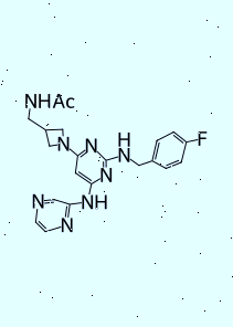 CC(=O)NCC1CN(c2cc(Nc3cnccn3)nc(NCc3ccc(F)cc3)n2)C1